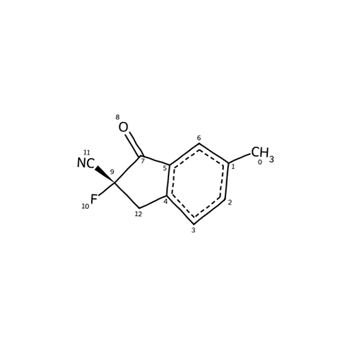 Cc1ccc2c(c1)C(=O)[C@](F)(C#N)C2